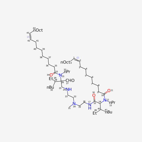 CCCCCCCC/C=C\CCCCCCCC(=O)N(CCC)C(C(=O)NCCN(C)CCNCC(C=O)(C(CC)CCCC)N(CCC)C(=O)CCCCCCC/C=C\CCCCCCCC)C(CC)CCCC